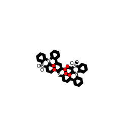 O=c1c2cc(-c3ccccc3N3c4ccccc4S(=O)(=O)c4ccccc43)ccc2sc2ccc(-c3ccccc3N3c4ccccc4S(=O)(=O)c4ccccc43)cc12